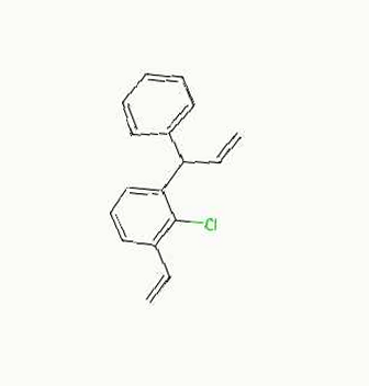 C=Cc1cccc(C(C=C)c2ccccc2)c1Cl